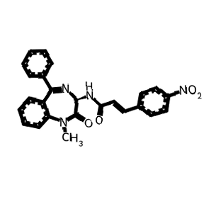 CN1C(=O)[C@H](NC(=O)/C=C/c2ccc([N+](=O)[O-])cc2)N=C(c2ccccc2)c2ccccc21